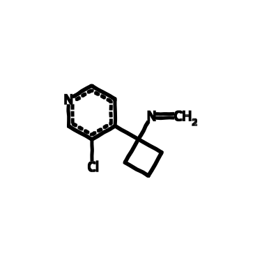 C=NC1(c2ccncc2Cl)CCC1